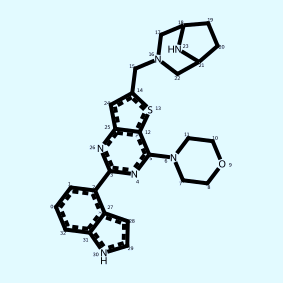 c1cc(-c2nc(N3CCOCC3)c3sc(CN4CC5CCC(C4)N5)cc3n2)c2cc[nH]c2c1